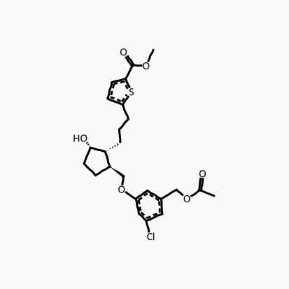 COC(=O)c1ccc(CCC[C@@H]2[C@@H](COc3cc(Cl)cc(COC(C)=O)c3)CC[C@@H]2O)s1